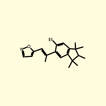 CCc1cc2c(cc1C(C)=Cc1ccno1)C(C)(C)C(C)C2(C)C